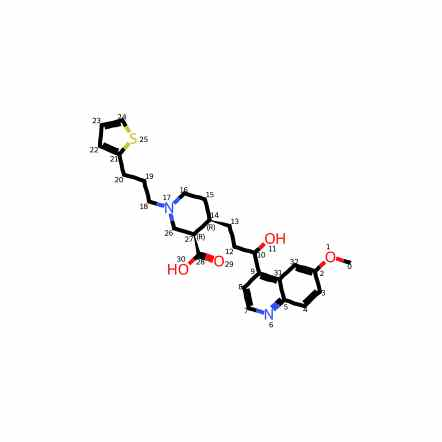 COc1ccc2nccc(C(O)CC[C@@H]3CCN(CCCc4cccs4)C[C@@H]3C(=O)O)c2c1